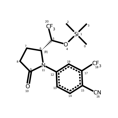 C[Si](C)(C)OC([C@H]1CCC(=O)N1c1ccc(C#N)c(C(F)(F)F)c1)C(F)(F)F